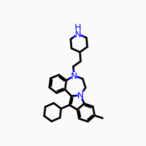 Cc1ccc2c(C3CCCCC3)c3n(c2c1)CCN(CCC1CCNCC1)c1ccccc1-3